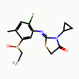 Cc1cc(F)c(/N=C2\SCC(=O)N2C2CC2)cc1[S+]([O-])CC(F)(F)F